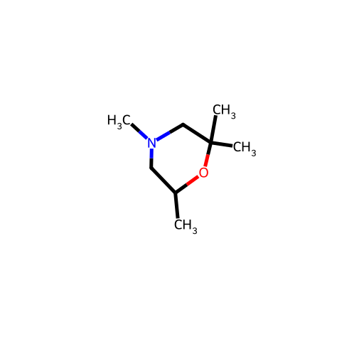 CC1CN(C)CC(C)(C)O1